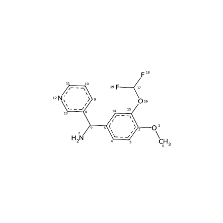 COc1ccc(C(N)c2cccnc2)cc1OC(F)F